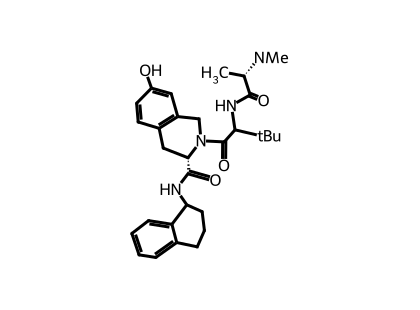 CN[C@@H](C)C(=O)NC(C(=O)N1Cc2cc(O)ccc2C[C@H]1C(=O)NC1CCCc2ccccc21)C(C)(C)C